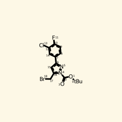 CC(C)(C)OC(=O)n1nc(-c2ccc(F)c(Cl)c2)cc1CBr